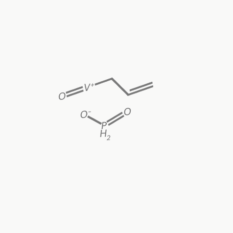 C=C[CH2][V+]=[O].O=[PH2][O-]